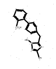 CCCCn1nc(CCC)nc1Cc1ccc(-c2ccccc2C(=O)O)cc1